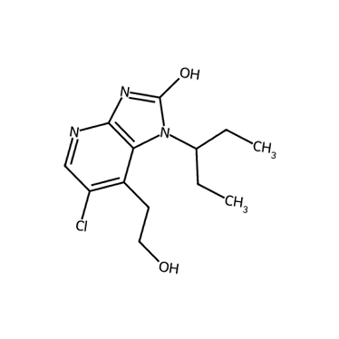 CCC(CC)n1c(O)nc2ncc(Cl)c(CCO)c21